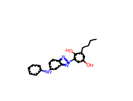 CCCCc1cc(O)cc(-n2nc3ccc(Nc4ccccc4)cc3n2)c1O